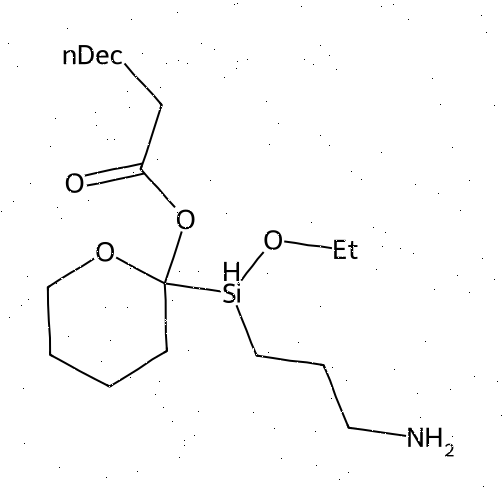 CCCCCCCCCCCC(=O)OC1([SiH](CCCN)OCC)CCCCO1